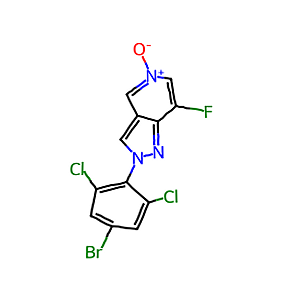 [O-][n+]1cc(F)c2nn(-c3c(Cl)cc(Br)cc3Cl)cc2c1